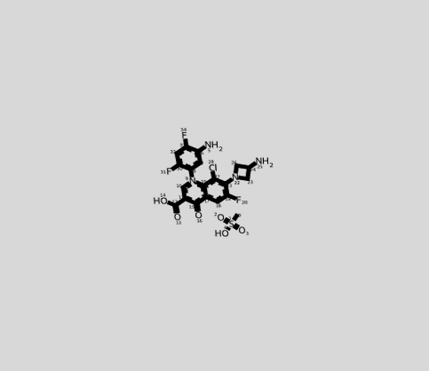 CS(=O)(=O)O.Nc1cc(-n2cc(C(=O)O)c(=O)c3cc(F)c(N4CC(N)C4)c(Cl)c32)c(F)cc1F